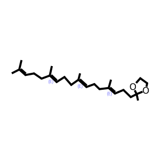 CC(C)=CCC/C(C)=C/CC/C(C)=C/CC/C(C)=C/CCC1(C)OCCO1